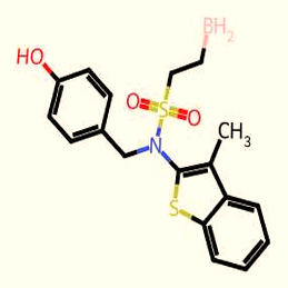 BCCS(=O)(=O)N(Cc1ccc(O)cc1)c1sc2ccccc2c1C